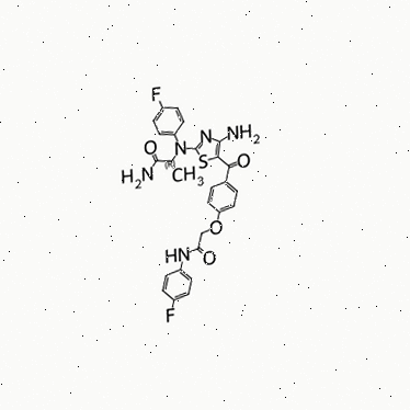 C[C@H](C(N)=O)N(c1ccc(F)cc1)c1nc(N)c(C(=O)c2ccc(OCC(=O)Nc3ccc(F)cc3)cc2)s1